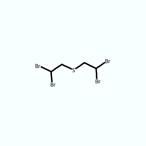 BrC(Br)CSCC(Br)Br